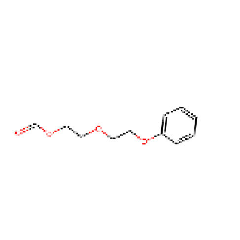 O=COCCOCCOc1ccccc1